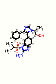 CC(C)S(=O)(=O)n1c(N)nc2ccc(-c3c(-c4ccccc4)ncn3[C@@H](C)CO)cc21